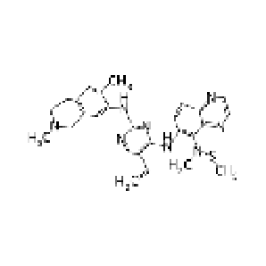 C=Cc1cnc(Nc2cc3c(cc2C)CCN(C)C3)nc1Nc1ccc2nccnc2c1N(C)SC